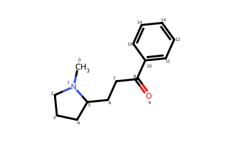 CN1CCCC1CCC(=O)c1ccccc1